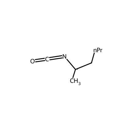 CCCC[C](C)N=C=O